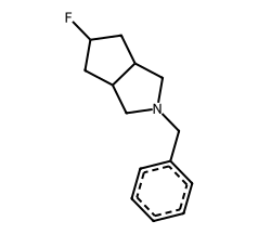 FC1CC2CN(Cc3ccccc3)CC2C1